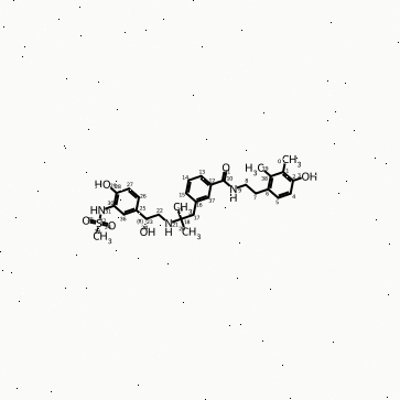 Cc1c(O)ccc(CCNC(=O)c2cccc(CC(C)(C)NC[C@H](O)c3ccc(O)c(NS(C)(=O)=O)c3)c2)c1C